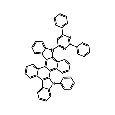 c1ccc(-c2cc(-n3c4ccccc4c4c5c6ccccc6c6c7ccccc7n(-c7ccccc7)c6c5c5ccccc5c43)nc(-c3ccccc3)n2)cc1